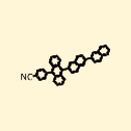 N#Cc1ccc(-c2c3ccccc3c(-c3ccc4cc(-c5ccc6ccccc6c5)ccc4c3)c3ccccc23)cc1